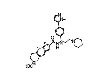 Cn1nccc1-c1ccc([C@@H](CCN2CCCCC2)NC(=O)c2cc3cc4c(nc3s2)CC[C@H](C(C)(C)C)C4)cc1